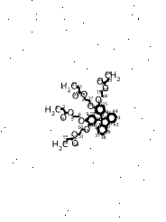 C=CC(=O)OCCOc1ccc(C2(c3ccc(OCCOC(=O)C=C)c(OCCOC(=O)C=C)c3)c3ccccc3-c3ccccc32)cc1OCCOC(=O)C=C